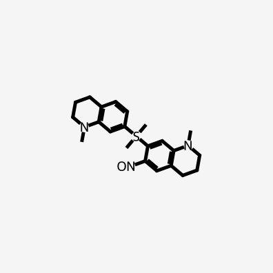 CN1CCCc2ccc(S(C)(C)c3cc4c(cc3N=O)CCCN4C)cc21